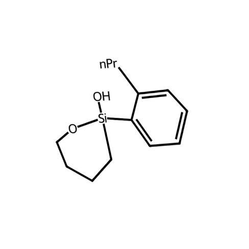 CCCc1ccccc1[Si]1(O)CCCCO1